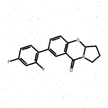 O=C1c2cc(-c3ccc(F)cc3F)ccc2OC2CCCN12